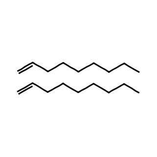 C=CCCCCCCC.C=CCCCCCCC